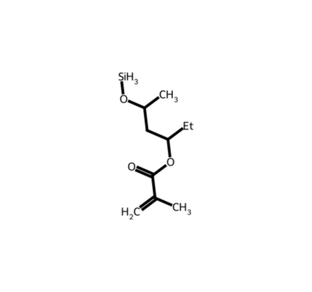 C=C(C)C(=O)OC(CC)CC(C)O[SiH3]